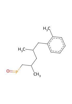 Cc1ccccc1CC(C)CC(C)CP=O